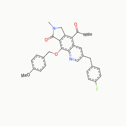 CNC(=O)c1c2c(c(OCc3ccc(OC)cc3)c3ncc(Cc4ccc(F)cc4)cc13)C(=O)N(C)C2